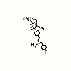 CC(C)C[C@@H]1NCCN([C@@H](CC(C)C)C(=O)N2CCC(CCN(C)Cc3ccc(F)cc3)CC2)C1=O